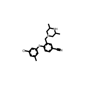 Cc1cc(Cl)cc(Sc2ccc(C#N)cc2CN2CC(C)NC(C)C2)c1